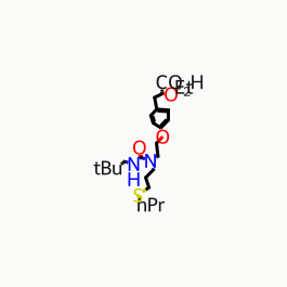 CCCSCCCN(CCOc1ccc(CC(OCC)C(=O)O)cc1)C(=O)NCC(C)(C)C